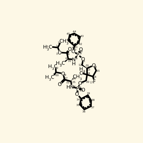 CC(C)OC(=O)[C@H](C)NP(=O)(OC[C@H]1OCC(F)C1(C)COP(=O)(N[C@@H](C)C(=O)OC(C)C)Oc1ccccc1)Oc1ccccc1